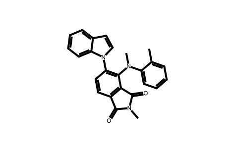 Cc1ccccc1N(C)c1c(-n2ccc3ccccc32)ccc2c1C(=O)N(C)C2=O